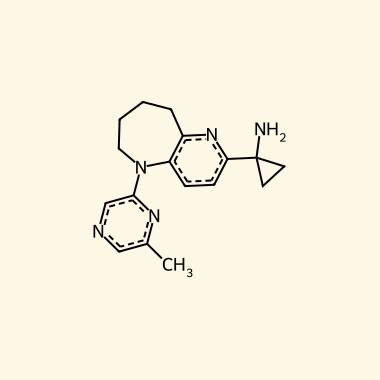 Cc1cncc(N2CCCCc3nc(C4(N)CC4)ccc32)n1